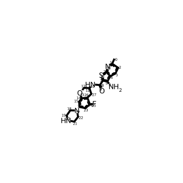 Cc1ccc2c(N)c(C(=O)NC3COc4cc(N5CCNCC5)cc(F)c4C3)sc2n1